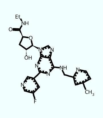 CCNC(=O)[C@@H]1C[C@@H](O)[C@H](n2cnc3c(NCc4cc(C)ccn4)nc(-c4cncc(F)c4)nc32)O1